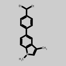 CCC(CC)c1ccc(-c2ccc3c(c2)c(C)cn3C)cc1